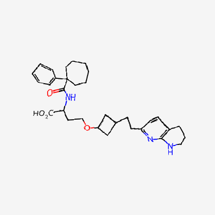 O=C(O)C(CCOC1CC(CCc2ccc3c(n2)NCCC3)C1)NC(=O)C1(c2ccccc2)CCCCCC1